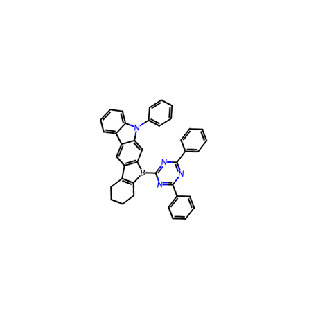 c1ccc(-c2nc(B3C4=C(CCCC4)c4cc5c6ccccc6n(-c6ccccc6)c5cc43)nc(-c3ccccc3)n2)cc1